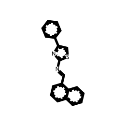 C(=Nc1nc(-c2ccccc2)cs1)c1cccc2ccccc12